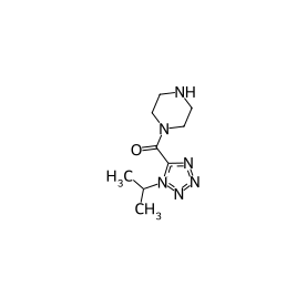 CC(C)n1nnnc1C(=O)N1CCNCC1